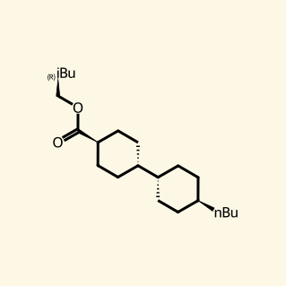 CCCC[C@H]1CC[C@H]([C@H]2CC[C@H](C(=O)OC[C@H](C)CC)CC2)CC1